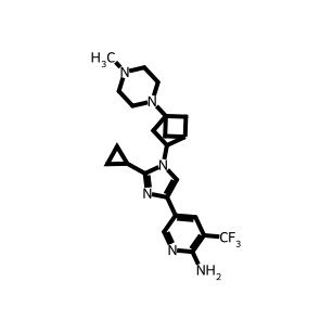 CN1CCN(C23CC(C2)C(n2cc(-c4cnc(N)c(C(F)(F)F)c4)nc2C2CC2)C3)CC1